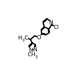 CC(COc1ccc2c(Cl)nccc2c1)c1cnn(C)c1